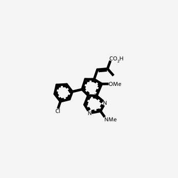 CNc1ncc2c(-c3cccc(Cl)c3)cc(C=C(C)C(=O)O)c(OC)c2n1